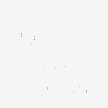 c1ccc(-c2ccc3ccc4c5c(ccc2c35)cc2c4c3ccncc3n2-c2cccc3c2sc2ccccc23)cc1